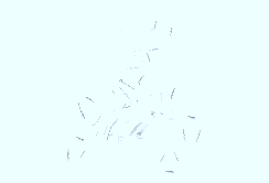 OC1(c2cc(Cc3ccc4c(c3)OCC4)c(Cl)cc2OCc2ccccc2)O[C@H](COCc2ccccc2)C(F)(F)[C@H](OCc2ccccc2)[C@H]1OCc1ccccc1